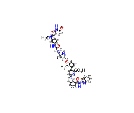 Cc1c(OCCCN2CCN(CC(=O)Nc3ccc4c(C5CCC(=O)NC5=O)nn(C)c4c3)CC2C(F)(F)F)cccc1-c1ccc(N2CCc3cccc(C(=O)Nc4nc5ccccc5s4)c3C2)nc1C(=O)O